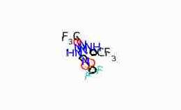 O=S(=O)(c1cc(F)cc(F)c1)N1CCC(Nc2nc(Nc3cccc(C(F)(F)F)c3)nc(OCC(F)(F)F)n2)CC1